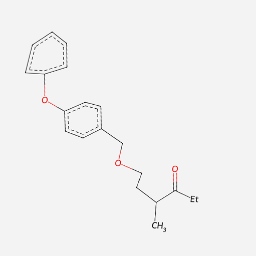 CCC(=O)C(C)CCOCc1ccc(Oc2ccccc2)cc1